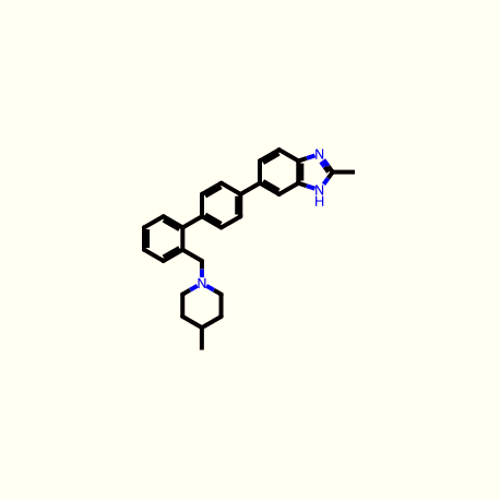 Cc1nc2ccc(-c3ccc(-c4ccccc4CN4CCC(C)CC4)cc3)cc2[nH]1